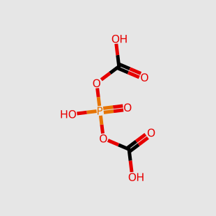 O=C(O)OP(=O)(O)OC(=O)O